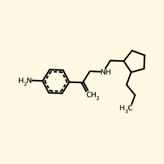 C=C(CNCC1CCCC1CCC)c1ccc(N)cc1